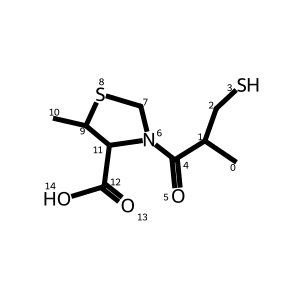 CC(CS)C(=O)N1CSC(C)C1C(=O)O